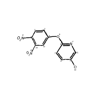 O=[N+]([O-])c1ccc(Oc2ccc(Cl)cn2)cc1[N+](=O)[O-]